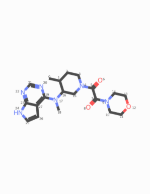 CC1CCN(C(=O)C(=O)N2CCOCC2)CC1N(C)c1ncnc2[nH]ccc12